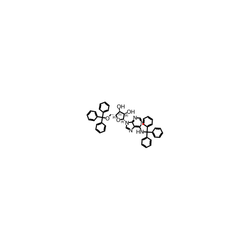 O[C@@H]1[C@H](O)[C@@H](COC(c2ccccc2)(c2ccccc2)c2ccccc2)O[C@H]1n1cnc2c(NC(c3ccccc3)(c3ccccc3)c3ccccc3)ncnc21